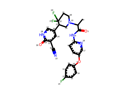 CC(C(=O)Nc1ccc(Oc2ccc(F)cc2)cn1)N1CCC(F)(F)C(c2c[nH]c(=O)c(C#N)c2)C1